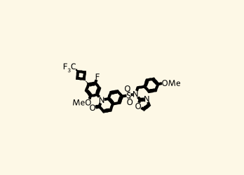 COc1ccc(CN(c2ncco2)S(=O)(=O)c2ccc3c(ccc(=O)n3-c3cc(F)c([C@H]4C[C@H](C(F)(F)F)C4)cc3OC)c2)cc1